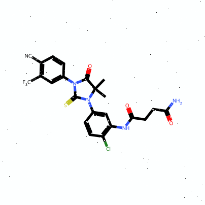 CC1(C)C(=O)N(c2ccc(C#N)c(C(F)(F)F)c2)C(=S)N1c1ccc(Cl)c(NC(=O)CCC(N)=O)c1